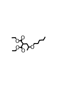 CCCCCOC(C)CC(C(=O)OCC)C(=O)OCC